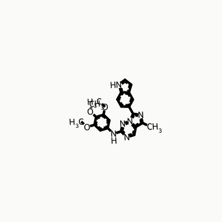 COc1cc(Nc2ncc3c(C)nc(-c4ccc5[nH]ccc5c4)n3n2)cc(OC)c1OC